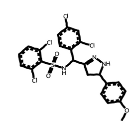 COc1ccc(C2CC(C(NS(=O)(=O)c3c(Cl)cccc3Cl)c3ccc(Cl)cc3Cl)=NN2)cc1